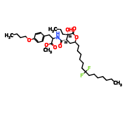 CCCCCCCC(F)(F)CCCCCCC1C[C@H](C(=O)NC(Cc2ccc(OCCCC)cc2)C(=O)OC)[C@@](O)(CCC)C(=O)O1